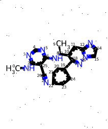 CNc1ncnc(N[C@@H](C)c2cc3nccn3nc2-c2ccccc2)c1C#N